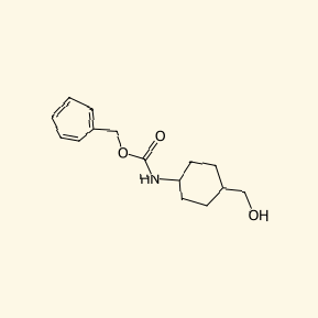 O=C(NC1CCC(CO)CC1)OCc1ccccc1